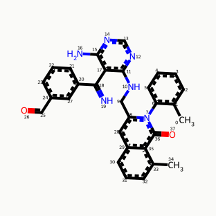 Cc1ccccc1-n1c(CNc2ncnc(N)c2C(=N)c2cccc(C=O)c2)cc2cccc(C)c2c1=O